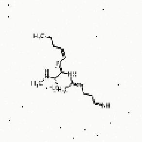 CCC/C=C\N=C(/N/C(C)=N/CCC=N)C(C)NC